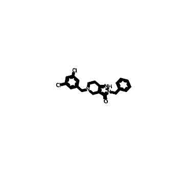 O=c1c2c([nH]n1Cc1ccccc1)CCN(Cc1cc(Cl)cc(Cl)c1)C2